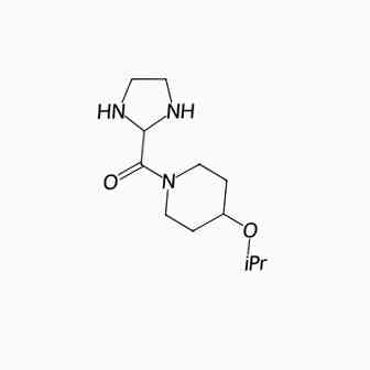 CC(C)OC1CCN(C(=O)C2NCCN2)CC1